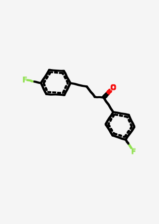 O=C(CCc1ccc(F)cc1)c1ccc(F)cc1